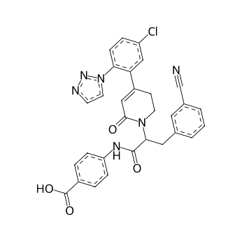 N#Cc1cccc(CC(C(=O)Nc2ccc(C(=O)O)cc2)N2CCC(c3cc(Cl)ccc3-n3ccnn3)=CC2=O)c1